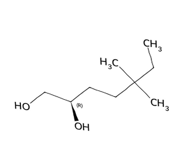 CCC(C)(C)CC[C@@H](O)CO